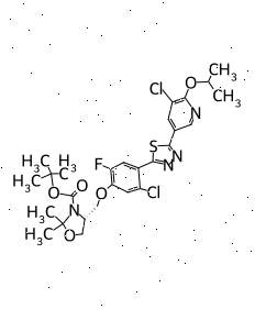 CC(C)Oc1ncc(-c2nnc(-c3cc(F)c(OC[C@@H]4COC(C)(C)N4C(=O)OC(C)(C)C)cc3Cl)s2)cc1Cl